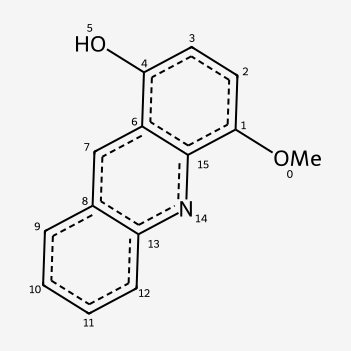 COc1ccc(O)c2cc3ccccc3nc12